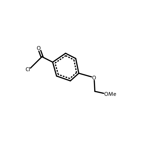 COCOc1ccc(C(=O)Cl)cc1